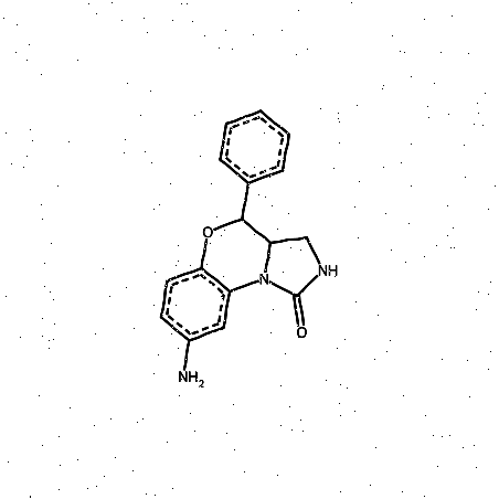 Nc1ccc2c(c1)N1C(=O)NCC1C(c1ccccc1)O2